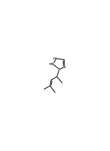 IC(I)=CC(I)N1N=CNN1